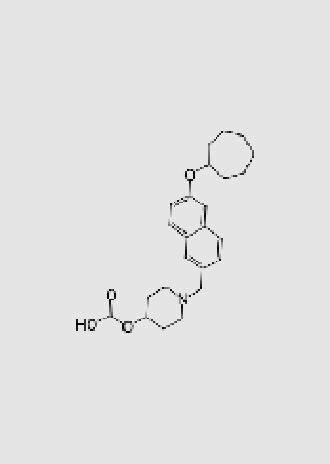 O=C(O)OC1CCN(Cc2ccc3cc(OC4CCCCCC4)ccc3c2)CC1